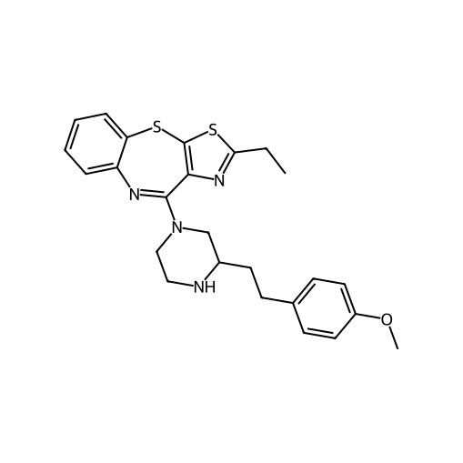 CCc1nc2c(s1)Sc1ccccc1N=C2N1CCNC(CCc2ccc(OC)cc2)C1